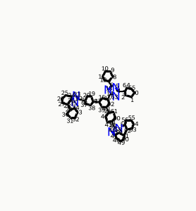 c1ccc(-c2nc(-c3ccccc3)nc(-c3cc(-c4ccc(-c5nc6cccc7c8ccccc8n5c67)cc4)cc(-c4ccc(-c5nc6cccc7c8ccccc8n5c67)cc4)c3)n2)cc1